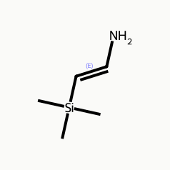 C[Si](C)(C)/C=C/N